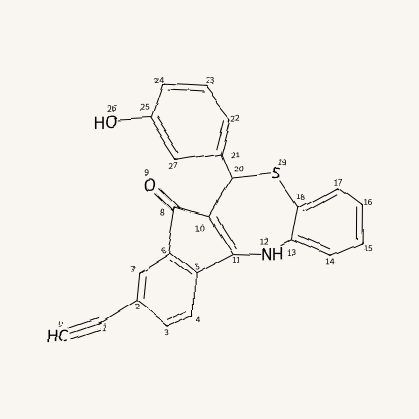 C#Cc1ccc2c(c1)C(=O)C1=C2Nc2ccccc2SC1c1cccc(O)c1